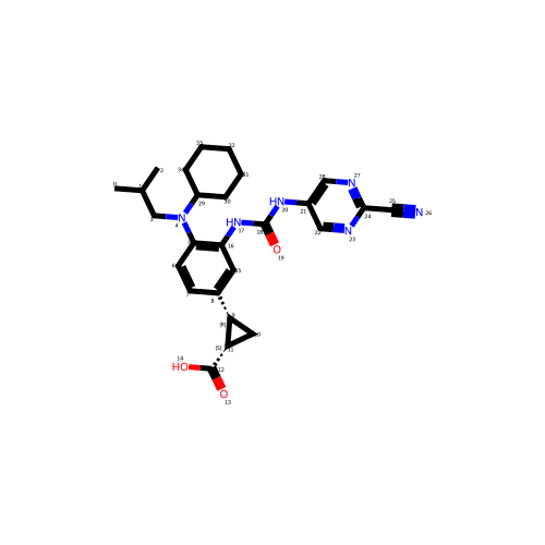 CC(C)CN(c1ccc([C@@H]2C[C@@H]2C(=O)O)cc1NC(=O)Nc1cnc(C#N)nc1)C1CCCCC1